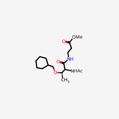 COC(=O)CCNC(=O)C(NC(C)=O)[C@@H](C)OCC1CCCCC1